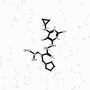 O=CN(O)C[C@H](CC1CCCC1)C(=O)NNc1nc(Cl)nc(NC2CC2)c1F